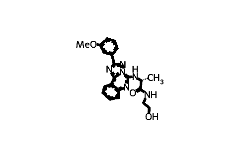 COc1cccc(-c2nc3c4ccccc4nc(N[C@H](C)C(=O)NCCO)n3n2)c1